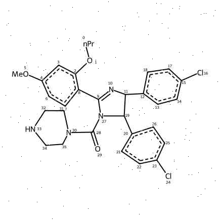 CCCOc1cc(OC)ccc1C1=NC(c2ccc(Cl)cc2)C(c2ccc(Cl)cc2)N1C(=O)N1CCNCC1